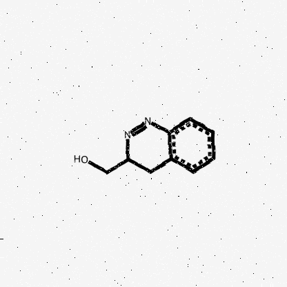 OCC1Cc2ccccc2N=N1